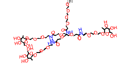 CCCOCCOCCOCCOCCC(=O)NC(COCCC(=O)NCCOCCOCCOC1OC(CO)C(O)C(O)C1C)(COCCC(=O)NCCOCCOCCOC1OC(CO)C(O)C(O)C1C)COCCC(=O)NCCOCCOCCOC1OC(CO)C(O)C(O)C1C